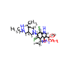 CCNCC1CN(c2c(F)c(C3(N)CC3)c3c(=O)c(C(=O)O)c[nH]c3c2F)CC1CC